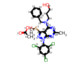 CC(=O)O.CSc1nn(-c2c(Cl)cc(Cl)cc2Cl)c2nc(C)nc(N(CCCO)Cc3ccccc3)c12